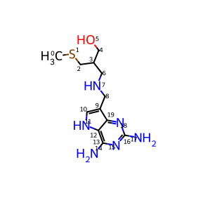 CSCC(CO)CNCc1c[nH]c2c(N)nc(N)nc12